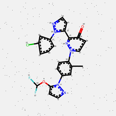 Cc1cc(-n2nccc2OC(F)F)ccc1-n1ccc(=O)c(-c2ccnn2-c2cccc(Cl)c2)n1